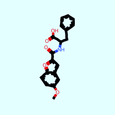 COc1ccc2oc(C(=O)NC(Cc3ccccc3)C(=O)O)cc2c1